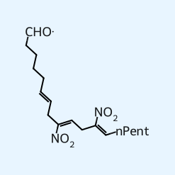 CCCCC/C=C(/C/C=C(/C/C=C/CCCC[C]=O)[N+](=O)[O-])[N+](=O)[O-]